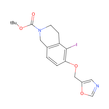 CC(C)(C)OC(=O)N1CCc2c(ccc(OCc3cnco3)c2I)C1